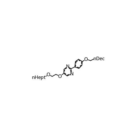 CCCCCCCCCCCOc1ccc(-c2ncc(OCCOCCCCCCC)cn2)cc1